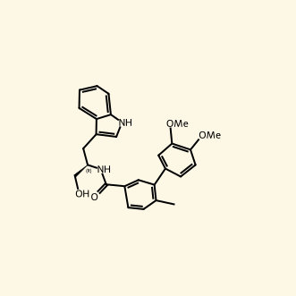 COc1ccc(-c2cc(C(=O)N[C@@H](CO)Cc3c[nH]c4ccccc34)ccc2C)cc1OC